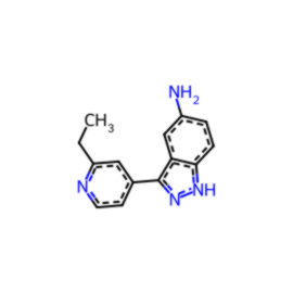 CCc1cc(-c2n[nH]c3ccc(N)cc23)ccn1